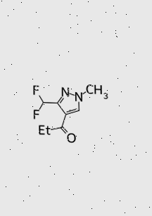 CCC(=O)c1cn(C)nc1C(F)F